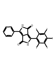 O=C1NC(c2c(I)c(I)c(I)c(I)c2I)=C2C(=O)NC(c3ccccc3)=C12